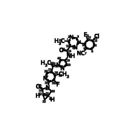 Cc1ncc(-c2c(C#N)ccc(Cl)c2F)nc1C(=O)Nc1cnn([C@H](C)c2cnc(N3C[C@H]4C[C@H]4C3=O)c(F)c2C)c1